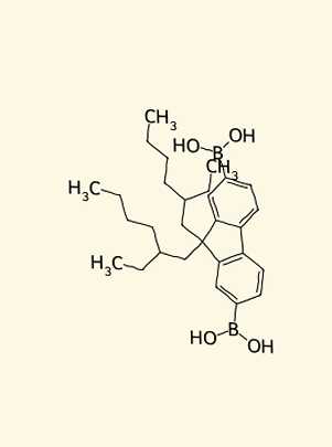 CCCCC(CC)CC1(CC(CC)CCCC)c2cc(B(O)O)ccc2-c2ccc(B(O)O)cc21